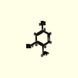 CCc1ccc([C](C)C)c(CC)c1